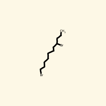 CCCC(Br)CCCCCCCBr